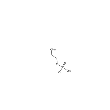 CCP(=O)(O)OCCOC